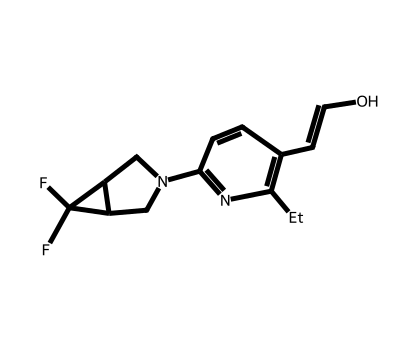 CCc1nc(N2CC3C(C2)C3(F)F)ccc1C=CO